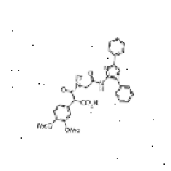 COc1ccc(C(C(=O)O)C(=O)N(CC(=O)Nc2nc(-c3ccccc3)cn2-c2ccccc2)C(C)C)cc1OC